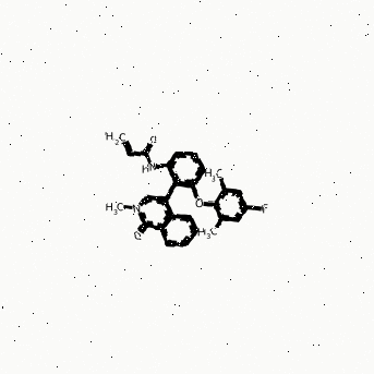 C=CC(=O)Nc1cccc(Oc2c(C)cc(F)cc2C)c1-c1cn(C)c(=O)c2ccccc12